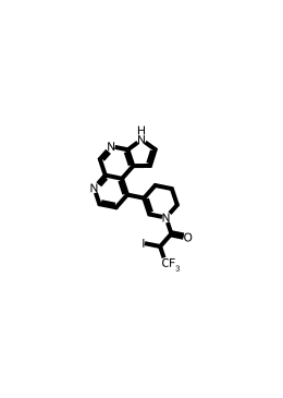 O=C(C(I)C(F)(F)F)N1C=C(c2ccnc3cnc4[nH]ccc4c23)CCC1